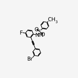 Cc1ccc(S(=O)(=O)Nc2ccc(F)cc2C#Cc2cccc(Br)c2)cc1